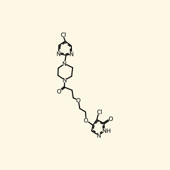 O=C(CCOCCOc1cn[nH]c(=O)c1Cl)N1CCN(c2ncc(Cl)cn2)CC1